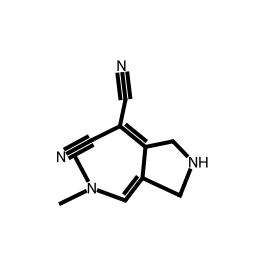 CN(C)/C=C1/CNCC1=C(C#N)C#N